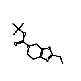 CCc1nc2c(s1)CN(C(=O)OC(C)(C)C)CC2